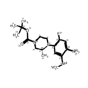 CNc1cc(N2CCN(C(=O)OC(C)(C)C)C[C@H]2C)c(F)cc1N